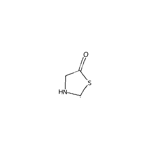 O=C1CN[CH]S1